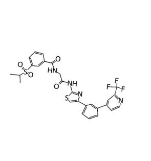 CC(C)S(=O)(=O)c1cccc(C(=O)NCC(=O)Nc2nc(-c3cccc(-c4ccnc(C(F)(F)F)c4)c3)cs2)c1